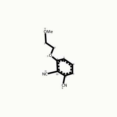 COCCOc1cccc(C#N)c1C#N